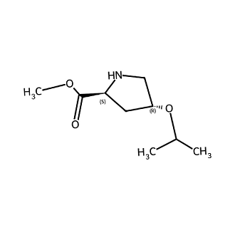 COC(=O)[C@@H]1C[C@@H](OC(C)C)CN1